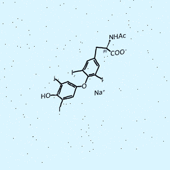 CC(=O)N[C@H](Cc1cc(I)c(Oc2cc(I)c(O)c(I)c2)c(I)c1)C(=O)[O-].[Na+]